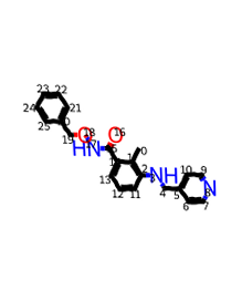 Cc1c(NCc2ccncc2)cccc1C(=O)NOCc1ccccc1